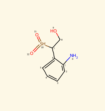 Nc1ccccc1C(CO)[SH](=O)=O